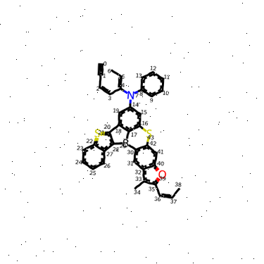 C#C/C=C\C(=C/C)N(c1ccccc1)c1cc2c3c(c1)-c1sc4ccccc4c1B3c1cc3c(C)c(/C=C\C)oc3cc1S2